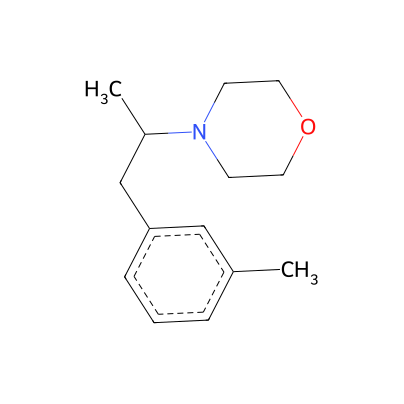 Cc1cccc(CC(C)N2CCOCC2)c1